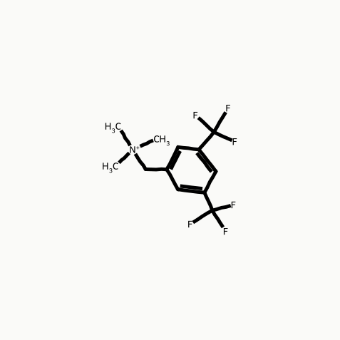 C[N+](C)(C)Cc1cc(C(F)(F)F)cc(C(F)(F)F)c1